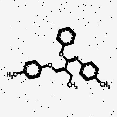 CCC(=COc1ccc(C)cc1)C(=Nc1ccc(C)cc1)Oc1ccccc1